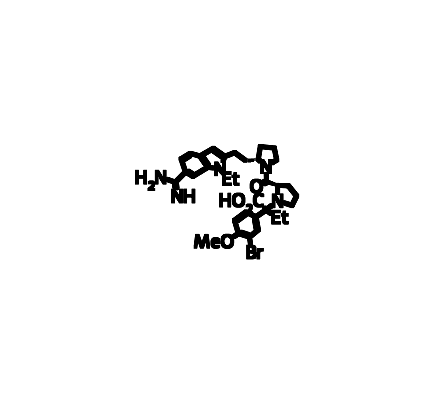 CCn1c(CC[C@@H]2CCCN2C(=O)[C@H]2CCCN2C(CC)(C(=O)O)c2ccc(OC)c(Br)c2)cc2ccc(C(=N)N)cc21